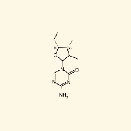 CC[C@H]1OC(n2cnc(N)nc2=O)C(C)[C@H]1C